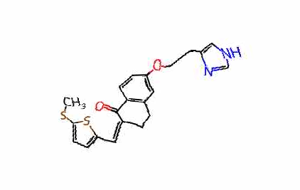 CSc1ccc(C=C2CCc3cc(OCCc4c[nH]cn4)ccc3C2=O)s1